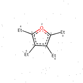 CCc1oc(CC)c(CC)c1CC